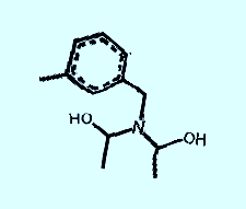 Cc1cc[c]c(CN(C(C)O)C(C)O)c1